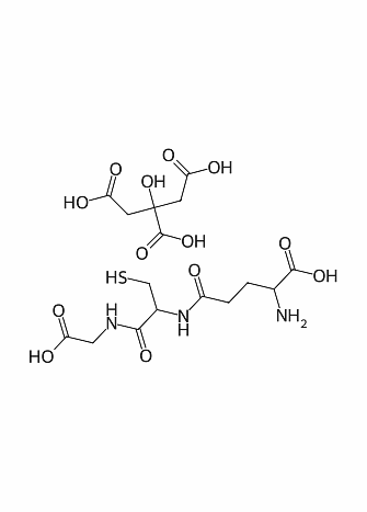 NC(CCC(=O)NC(CS)C(=O)NCC(=O)O)C(=O)O.O=C(O)CC(O)(CC(=O)O)C(=O)O